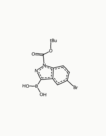 CC(C)(C)OC(=O)n1nc(B(O)O)c2cc(Br)ccc21